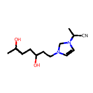 CC(O)CCC(O)CCN1C=CN(C(C)C#N)C1